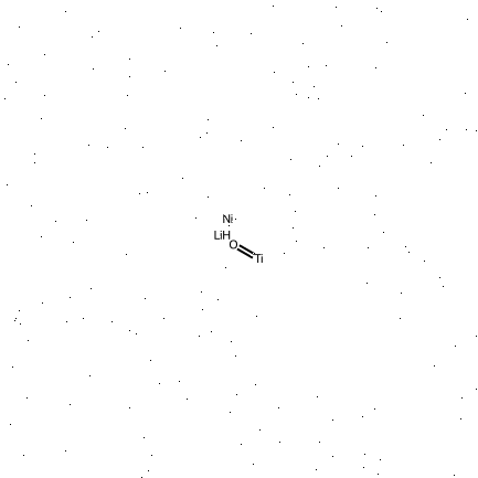 [LiH].[Ni].[O]=[Ti]